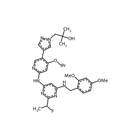 COc1ccc(CNc2cc(Nc3cc(OC(C)C)c(-c4cnn(CC(C)(C)O)c4)cn3)nc(C(C)F)n2)c(OC)c1